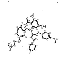 COc1ccc(Cn2nc(-c3ccccc3)cc2Nc2cc(O)cc(O)c2C(=O)N2Cc3ccc(OCCN(C)C)cc3C2)cc1